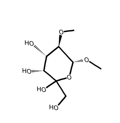 CO[C@@H]1OC(O)(CO)[C@H](O)[C@H](O)[C@H]1OC